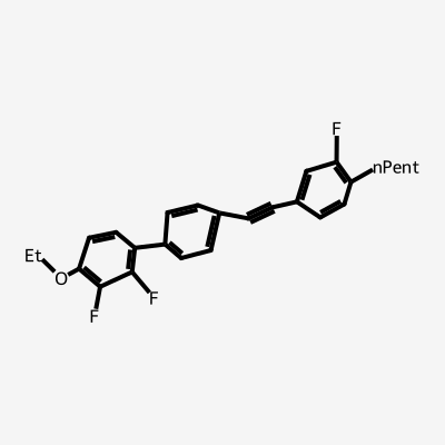 CCCCCc1ccc(C#Cc2ccc(-c3ccc(OCC)c(F)c3F)cc2)cc1F